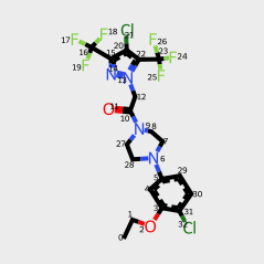 CCOc1cc(N2CCN(C(=O)Cn3nc(C(F)(F)F)c(Cl)c3C(F)(F)F)CC2)ccc1Cl